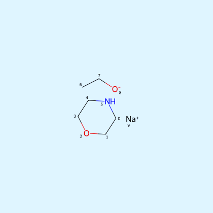 C1COCCN1.CC[O-].[Na+]